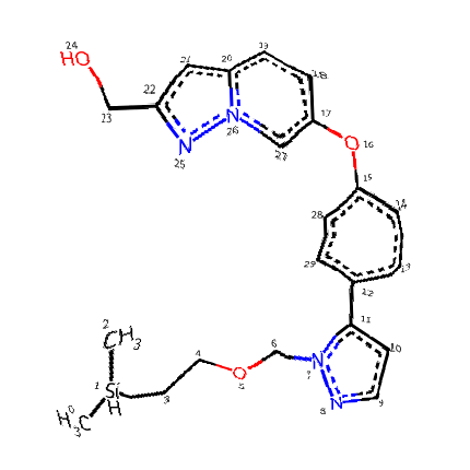 C[SiH](C)CCOCn1nccc1-c1ccc(Oc2ccc3cc(CO)nn3c2)cc1